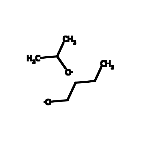 CC(C)[O].CCCC[O]